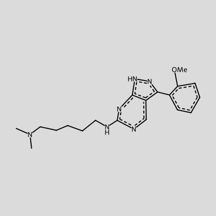 COc1ccccc1-c1n[nH]c2nc(NCCCCCN(C)C)ncc12